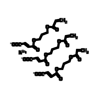 C=CC(=O)OCCCOC(=O)C=CC(=O)[O-].C=CC(=O)OCCCOC(=O)C=CC(=O)[O-].C=CC(=O)OCCCOC(=O)C=CC(=O)[O-].[N+3]